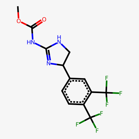 COC(=O)NC1=NC(c2ccc(C(F)(F)F)c(C(F)(F)F)c2)CN1